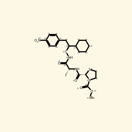 C[C@@H](NC(=O)[C@@H]1SCCN1C(=O)OC(C)(C)C)C(=O)NSC(Cc1ccc([N+](=O)[O-])cc1)C1CCCCC1